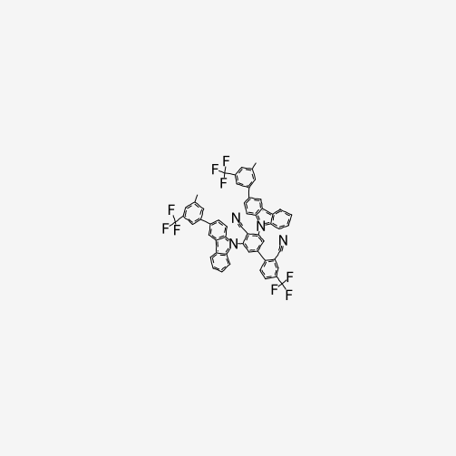 Cc1cc(-c2ccc3c(c2)c2ccccc2n3-c2cc(-c3ccc(C(F)(F)F)cc3C#N)cc(-n3c4ccccc4c4cc(-c5cc(C)cc(C(F)(F)F)c5)ccc43)c2C#N)cc(C(F)(F)F)c1